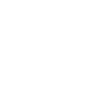 C=C(C)C(=O)C(=O)C(O)C(O)C(=O)C(=C)C